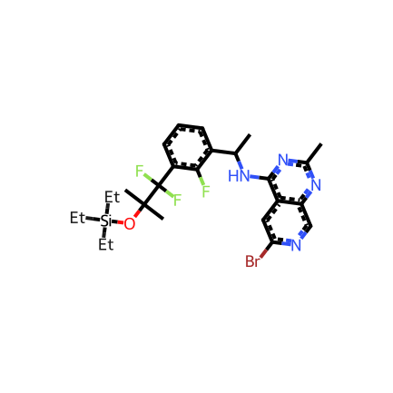 CC[Si](CC)(CC)OC(C)(C)C(F)(F)c1cccc(C(C)Nc2nc(C)nc3cnc(Br)cc23)c1F